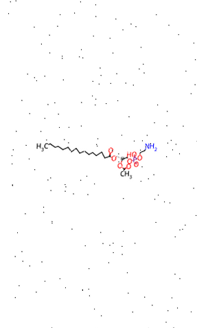 CCCCCCCCCCCCCCCC(=O)OC[C@H](COP(=O)(O)OCCN)OC(C)=O